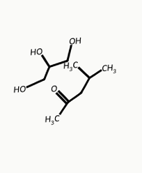 CC(=O)CC(C)C.OCC(O)CO